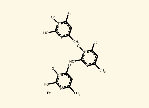 CCc1cc(C)nc(O)[n+]1[O-].CCc1cc(C)nc(O)[n+]1[O-].CCc1cc(C)nc(O)[n+]1[O-].[Fe]